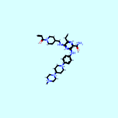 C=CC(=O)N1CCC(CNc2nc(Nc3ccc(N4CCC(N5CCN(C)CC5)CC4)cc3)c(C(N)=O)nc2CC)CC1